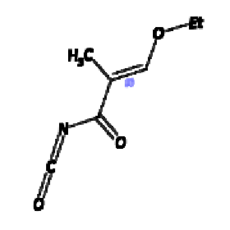 CCO/C=C(\C)C(=O)N=C=O